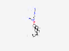 CC[C@H](CC[C@@H](C)[C@H]1CC[C@H]2[C@@H]3CC=C4C[C@@H](OC(=O)N(CCCCNCCC(C)(C)N)CCC(C)(C)N)CC[C@]4(C)[C@H]3CC[C@]12C)C(C)C